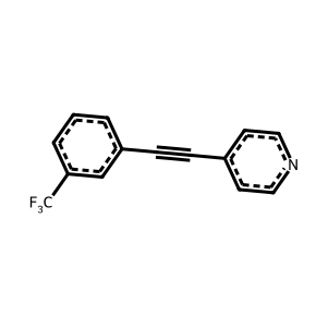 FC(F)(F)c1cccc(C#Cc2ccncc2)c1